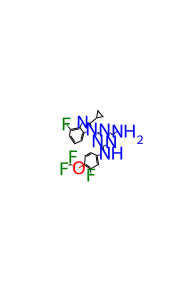 Nc1nc(Nc2ccc(OC(F)F)c(F)c2)nc(-n2c(C3CC3)nc3c(F)cccc32)n1